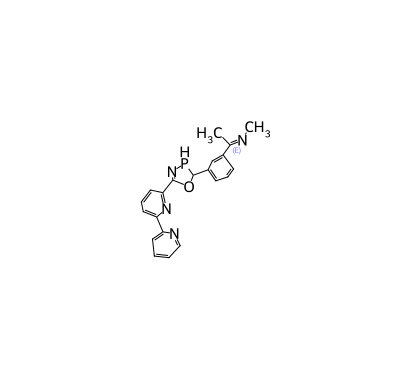 C/N=C(\C)c1cccc(C2OC(c3cccc(-c4ccccn4)n3)=NP2)c1